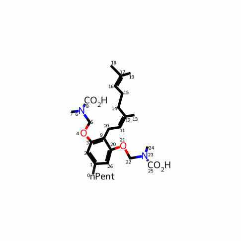 CCCCCc1cc(OCN(C)C(=O)O)c(CC=C(C)CCC=C(C)C)c(OCN(C)C(=O)O)c1